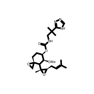 CO[C@H]1C([C@@]2(C)O[C@@H]2CC=C(C)C)[C@]2(CC[C@H]1OC(=O)NCC(C)(C)c1nnc[nH]1)CO2